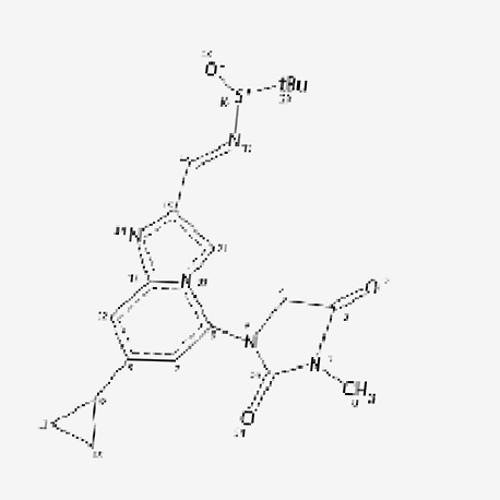 CN1C(=O)CN(c2cc(C3CC3)cc3nc(/C=N/[S+]([O-])C(C)(C)C)cn23)C1=O